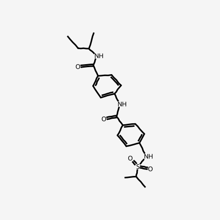 CCC(C)NC(=O)c1ccc(NC(=O)c2ccc(NS(=O)(=O)C(C)C)cc2)cc1